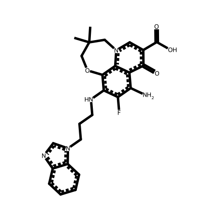 CC1(C)COc2c(NCCCn3cnc4ccccc43)c(F)c(N)c3c(=O)c(C(=O)O)cn(c23)C1